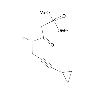 COP(=O)(CC(=O)[C@@H](C)CC#CC1CC1)OC